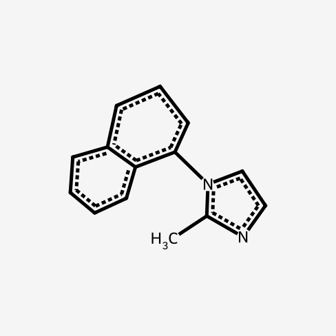 Cc1nccn1-c1cccc2ccccc12